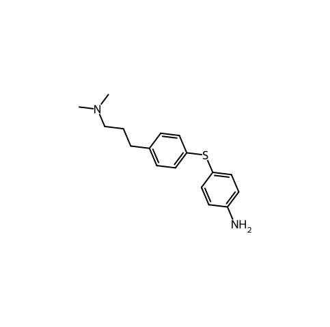 CN(C)CCCc1ccc(Sc2ccc(N)cc2)cc1